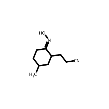 CC1CC/C(=N\O)C(CCC#N)C1